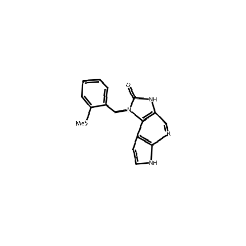 CSc1ccccc1Cn1c(=O)[nH]c2cnc3[nH]ccc3c21